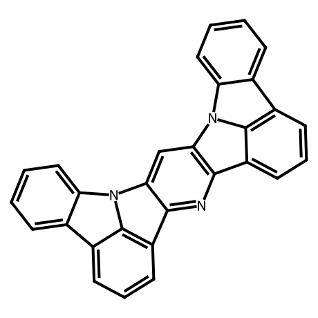 c1ccc2c(c1)c1cccc3c4nc5c6cccc7c8ccccc8n(c5cc4n2c13)c76